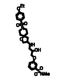 CCOc1ccc(S(=O)(=O)N2CCC3(CC2)CC(NCC(O)COc2cccc(S(=O)(=O)NC)c2)CO3)cc1